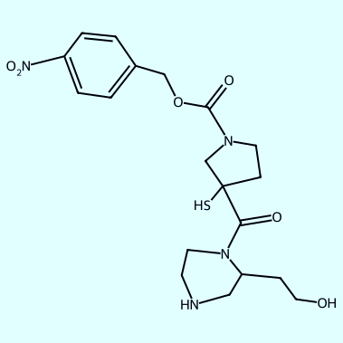 O=C(OCc1ccc([N+](=O)[O-])cc1)N1CCC(S)(C(=O)N2CCNCC2CCO)C1